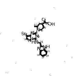 CC1CC(C(=O)O)CCN1c1nc(NCc2nc3ccccc3[nH]2)n2ncc(Br)c2n1